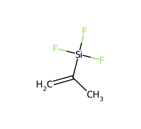 C=C(C)[Si](F)(F)F